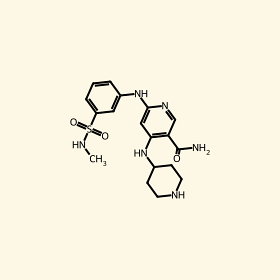 CNS(=O)(=O)c1cccc(Nc2cc(NC3CCNCC3)c(C(N)=O)cn2)c1